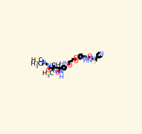 CCN(CC)CCNC(=O)c1c(C)[nH]c(/C=C2\C(=O)Nc3ccc(NC(=O)CCCC(=O)Oc4ccc(CNC(=O)Nc5nc(-c6ccncc6)cs5)cc4)cc32)c1C